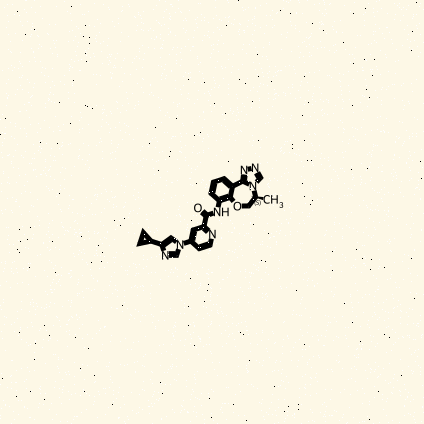 C[C@H]1COc2c(NC(=O)c3cc(-n4cnc(C5CC5)c4)ccn3)cccc2-c2nncn21